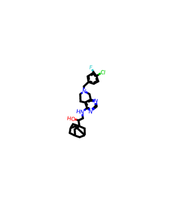 OC(CNc1ncnc2c1CCN(Cc1ccc(Cl)c(F)c1)C2)C12CC3CC(CC(C3)C1)C2